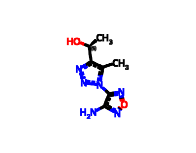 Cc1c([C@H](C)O)nnn1-c1nonc1N